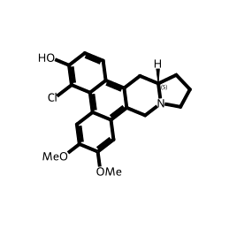 COc1cc2c3c(c4ccc(O)c(Cl)c4c2cc1OC)C[C@@H]1CCCN1C3